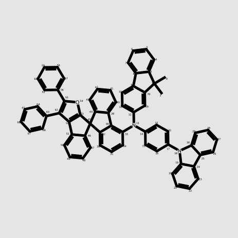 CC1(C)c2ccccc2-c2ccc(N(c3ccc(-n4c5ccccc5c5ccccc54)cc3)c3cccc4c3-c3ccccc3C43c4ccccc4-c4c3oc(-c3ccccc3)c4-c3ccccc3)cc21